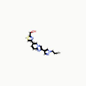 CC(C)CCn1cc(-c2cn3cc(-c4csc(CO)n4)ccc3n2)cn1